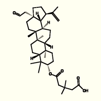 C=C(C)[C@@H]1CC[C@]2(CC=O)CC[C@]3(C)[C@H](CC[C@@H]4[C@@]5(C)CC[C@H](OC(=O)CC(C)(C)CC(=O)O)C(C)(C)[C@@H]5CC[C@]43C)[C@@H]12